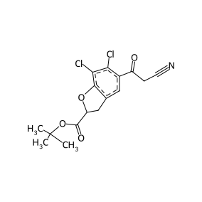 CC(C)(C)OC(=O)C1Cc2cc(C(=O)CC#N)c(Cl)c(Cl)c2O1